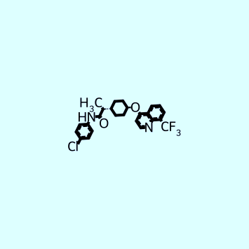 CC(C(=O)Nc1ccc(Cl)cc1)[C@H]1CC[C@H](Oc2ccnc3c(C(F)(F)F)cccc23)CC1